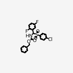 O=C(NC(c1cc(F)ccc1F)S(=O)(=O)c1ccc(Cl)cc1)OCc1ccccc1